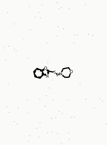 c1ccc2oc(SSN3CCOCC3)nc2c1